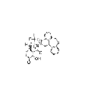 C[C@@H](N(CC[C@@H]1c2ccccc2SCc2cccc(Cl)c21)C(=O)c1c(O)c(=O)ccn1N)C(F)(F)F